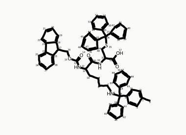 Cc1ccc(C(NCCCCC(NC(=O)OCC2c3ccccc3-c3ccccc32)C(=O)NC(CSC(c2ccccc2)(c2ccccc2)c2ccccc2)C(=O)O)(c2ccccc2)c2ccccc2)cc1